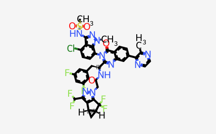 Cc1nccnc1-c1ccc2c(=O)n(-c3ccc(Cl)c4c(NS(C)(=O)=O)nn(C)c34)c([C@H](Cc3cc(F)cc(F)c3)NC(=O)Cn3nc(C(F)F)c4c3C(F)(F)[C@@H]3C[C@H]43)nc2c1